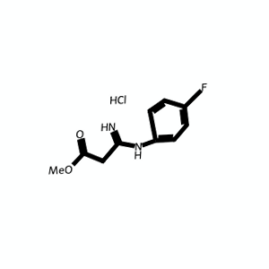 COC(=O)CC(=N)Nc1ccc(F)cc1.Cl